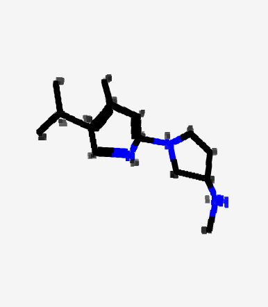 CNC1CCN(c2cc(C)c(C(C)C)cn2)C1